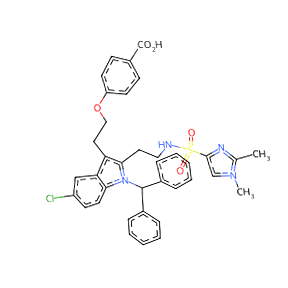 Cc1nc(S(=O)(=O)NCCc2c(CCOc3ccc(C(=O)O)cc3)c3cc(Cl)ccc3n2C(c2ccccc2)c2ccccc2)cn1C